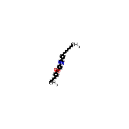 CCCCCCCCC[C@H]1CC[C@H](c2cnc(-c3ccc(OC(=O)C4CCC(CCCCC)CC4)cc3)nc2)CC1